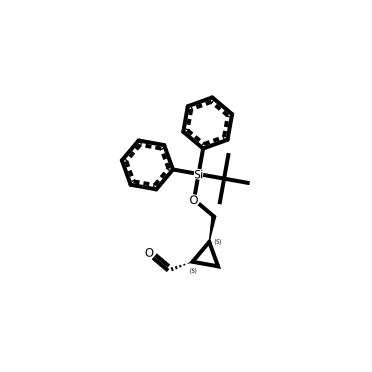 CC(C)(C)[Si](OC[C@H]1C[C@@H]1C=O)(c1ccccc1)c1ccccc1